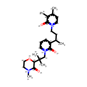 Cc1ccn(CCC(C)c2cccn(CC(C)(C)C3OCCN(C)C3=O)c2=O)c(=O)c1C(C)C